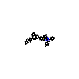 c1ccc(-c2ccc(C3CCc4cc(-c5ccc6sc7c(-c8nc(-c9ccccc9)nc(-c9ccccc9)n8)cccc7c6c5)ccc4-c4ccccc4C3)cc2)cc1